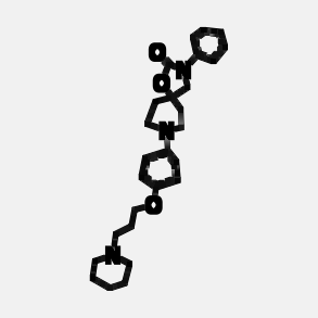 O=C1OC2(CCN(c3ccc(OCCCN4CCCCC4)cc3)CC2)CN1c1ccccc1